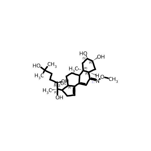 CO/N=C1/C=C2C3=CCC([C@@](C)(O)[C@H](O)CCC(C)(C)O)[C@@]3(C)CCC2[C@@]2(C)C[C@H](O)[C@H](O)C[C@@H]12